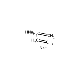 C=C.C=C.[NaH].[NaH]